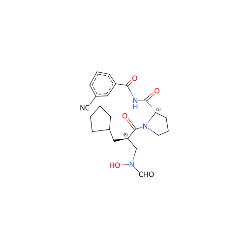 N#Cc1cccc(C(=O)NC(=O)[C@@H]2CCCN2C(=O)[C@H](CC2CCCC2)CN(O)C=O)c1